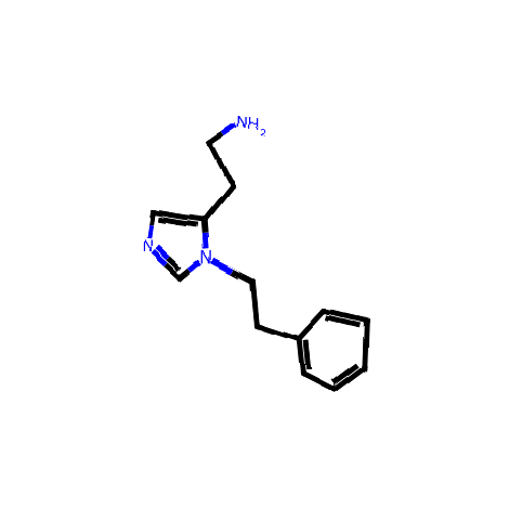 NCCc1cncn1CCc1ccccc1